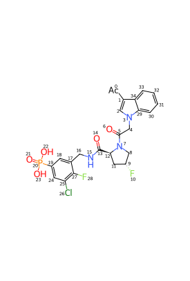 CC(=O)c1cn(CC(=O)N2C[C@H](F)C[C@H]2C(=O)NCc2cc(P(=O)(O)O)cc(Cl)c2F)c2ccccc12